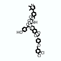 Cc1nccc(-c2ccc(C[C@H](NC(=O)[C@@H]3Cc4cc5c(cc4CN3C(=O)c3ccc(O)cc3)O[C@@H](c3ccc(OCc4ccc(Cl)c(Cl)c4)cc3)CO5)C(=O)O)cc2)c1C